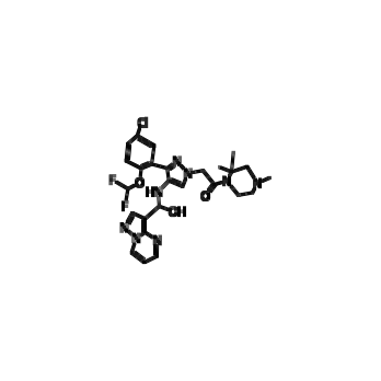 CN1CCN(C(=O)Cn2cc(NC(O)c3cnn4cccnc34)c(-c3cc(Cl)ccc3OC(F)F)n2)C(C)(C)C1